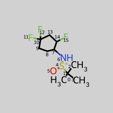 CC(C)(C)[S+]([O-])NC1CCC(F)(F)CC1F